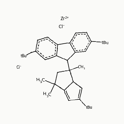 CC(C)(C)C1=CC2C(=C1)C(C)(C)CC2(C)C1c2cc(C(C)(C)C)ccc2-c2ccc(C(C)(C)C)cc21.[Cl-].[Cl-].[Zr+2]